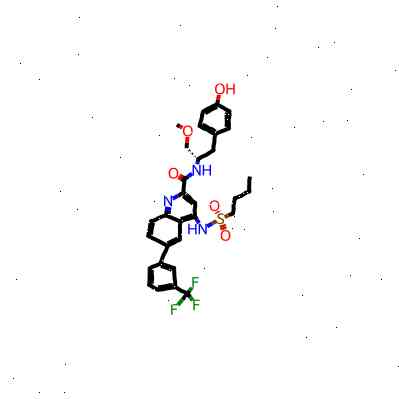 CCCCS(=O)(=O)Nc1cc(C(=O)N[C@H](COC)Cc2ccc(O)cc2)nc2ccc(-c3cccc(C(F)(F)F)c3)cc12